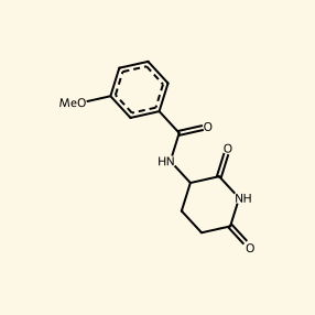 COc1cccc(C(=O)NC2CCC(=O)NC2=O)c1